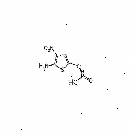 Nc1sc(O[PH](=O)O)cc1[N+](=O)[O-]